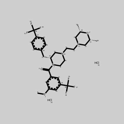 CSc1cc(C(=O)N2CCN(CCN3C[C@@H](C)O[C@@H](C)C3)C[C@H]2Cc2ccc(C(F)(F)F)cc2)cc(C(F)(F)F)c1.Cl.Cl